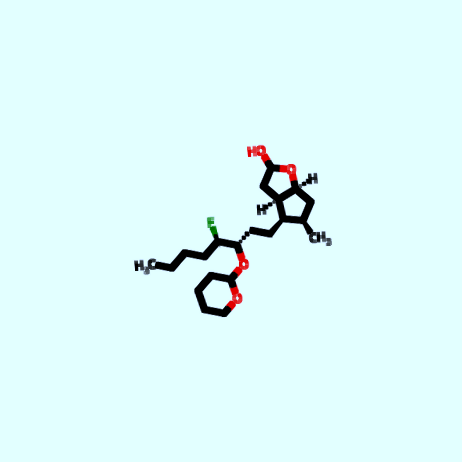 CCCC[C@@H](F)[C@H](CC[C@H]1[C@H]2CC(O)O[C@H]2C[C@H]1C)OC1CCCCO1